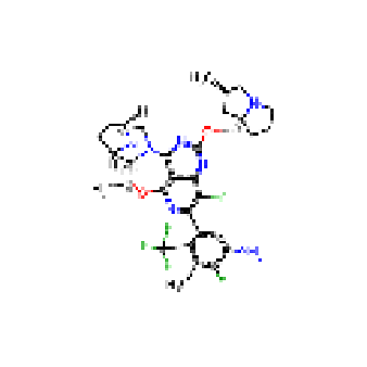 C=C1CN2CCC[C@@]2(COc2nc3c4c(nc(-c5cc(N)c(F)c(C)c5C(F)(F)F)c(F)c4n2)O[C@@H](C)[C@@H]2[C@@H]4CC[C@H](CN32)N4)C1